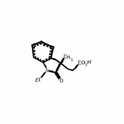 CCN1C(=O)C(C)(CC(=O)O)c2ccccc21